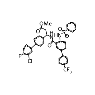 COC(=O)CC(NC(=O)c1cc(-c2ccc(C(F)(F)F)cc2)ccc1NS(=O)(=O)c1ccccc1)c1ccc(-c2ccc(F)c(Cl)c2)cc1